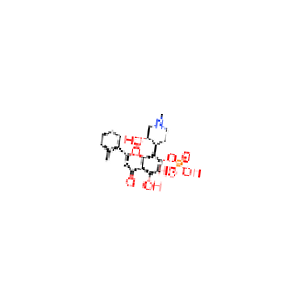 Cc1ccccc1-c1cc(=O)c2c(O)cc(OP(=O)(O)O)c(C3CCN(C)CC3O)c2o1